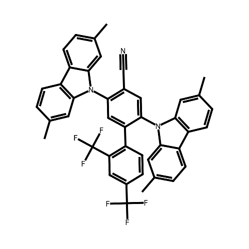 Cc1ccc2c3ccc(C)cc3n(-c3cc(-c4ccc(C(F)(F)F)cc4C(F)(F)F)c(-n4c5cc(C)ccc5c5ccc(C)cc54)cc3C#N)c2c1